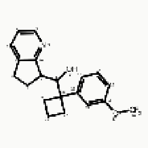 OC(C1CCc2cccnc21)C1(c2cccc(OC(F)(F)F)c2)CCC1